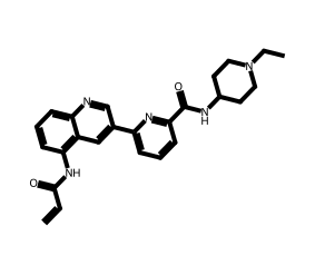 C=CC(=O)Nc1cccc2ncc(-c3cccc(C(=O)NC4CCN(CC)CC4)n3)cc12